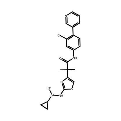 CC(C)(C(=O)Nc1ccc(-c2cccnc2)c(Cl)c1)c1csc(N[S+]([O-])C2CC2)n1